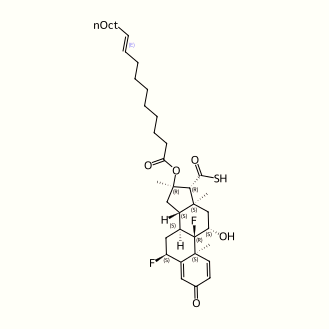 CCCCCCCC/C=C/CCCCCCCC(=O)O[C@]1(C)C[C@H]2[C@@H]3C[C@H](F)C4=CC(=O)C=C[C@]4(C)[C@@]3(F)[C@@H](O)C[C@]2(C)[C@H]1C(=O)S